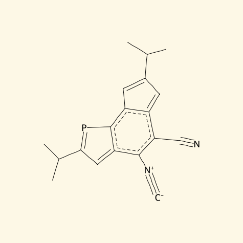 [C-]#[N+]c1c(C#N)c2c(c3c1=CC(C(C)C)=P3)C=C(C(C)C)C=2